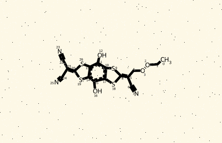 CCOOCC(C#N)=C1Sc2c(O)c3c(c(O)c2S1)SC(=C(C#N)C#N)S3